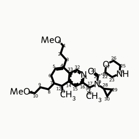 COCCCC1=CCC(CCCOC)C(C)c2cc([C@@H](C)N(C(=O)[C@H]3CNCCO3)C3CC3)ncc21